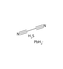 N#CC#N.S.[PbH2]